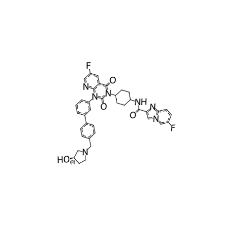 O=C(NC1CCC(n2c(=O)c3cc(F)cnc3n(-c3cccc(-c4ccc(CN5CC[C@@H](O)C5)cc4)c3)c2=O)CC1)c1cn2cc(F)ccc2n1